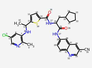 Cc1ncc(Cl)cc1NC(C)c1ccc(C(=O)NC(CC2CCCC2)C(=O)Nc2ccc3ncc(C#N)cc3c2)s1